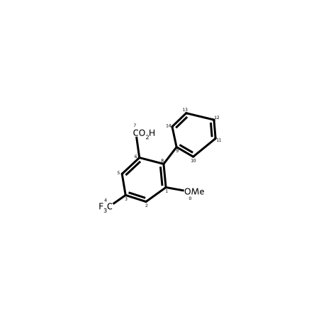 COc1cc(C(F)(F)F)cc(C(=O)O)c1-c1ccccc1